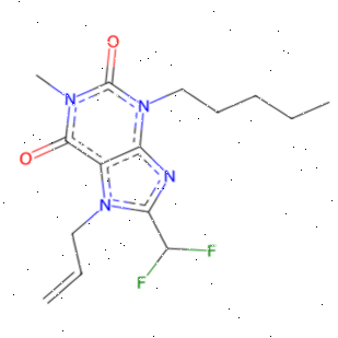 C=CCn1c(C(F)F)nc2c1c(=O)n(C)c(=O)n2CCCCC